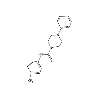 O=C(Nc1ccc(C(F)(F)F)cc1)N1CCN(c2ccccc2)CC1